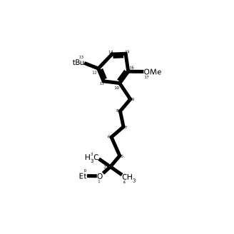 CCOC(C)(C)CCCCCc1cc(C(C)(C)C)ccc1OC